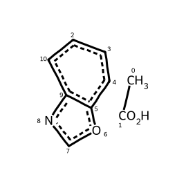 CC(=O)O.c1ccc2ocnc2c1